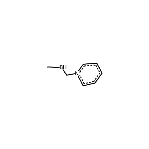 CBC[n+]1ccccc1